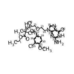 CCOC(=O)C(C)(C)NP(=O)(COCCn1cnc2c(=O)[nH]c(N)nc21)OCc1ccc(OC)c(Cl)c1